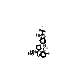 Cc1c(F)cccc1[C@]1(C(=O)NO)CC[C@H](c2ccc3nc(C(F)(F)F)[nH]c3c2)C1